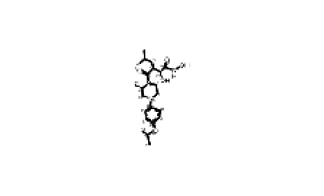 CC(C)CC(C(=O)N1CCN(c2ccc(OC(C)C)cc2)C[C@H]1C)C(O)C(=O)NO